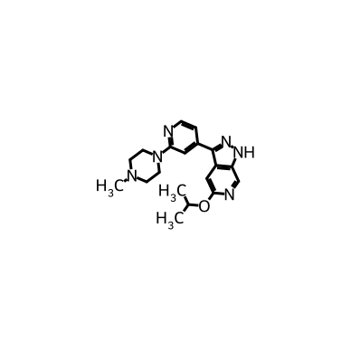 CC(C)Oc1cc2c(-c3ccnc(N4CCN(C)CC4)c3)n[nH]c2cn1